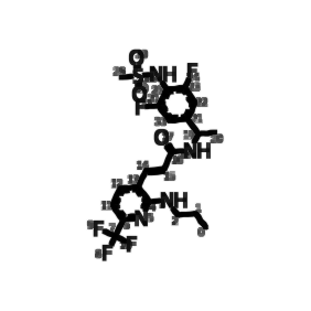 CCCNc1nc(C(F)(F)F)ccc1C=CC(=O)NC(C)c1cc(F)c(NS(C)(=O)=O)c(F)c1